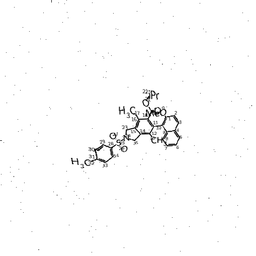 COc1ccc2ccccc2c1-c1c(C)c2c(c(C)c1C(=O)OC(C)C)CN(S(=O)(=O)c1ccc(C)cc1)C2